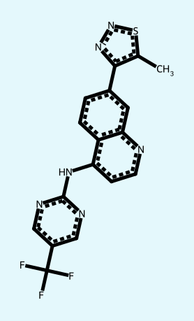 Cc1snnc1-c1ccc2c(Nc3ncc(C(F)(F)F)cn3)ccnc2c1